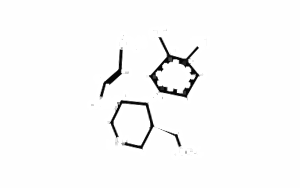 CC(C)COC[C@H]1CNCC[C@@H]1c1ccc(Cl)c(Cl)c1.O=C(O)/C=C/C(=O)O